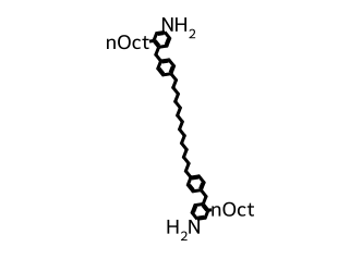 CCCCCCCCc1cc(N)ccc1Cc1ccc(CCCCCCCCCCCCCCc2ccc(Cc3ccc(N)cc3CCCCCCCC)cc2)cc1